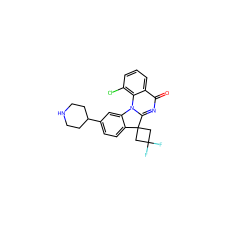 O=c1nc2n(c3c(Cl)cccc13)-c1cc(C3CCNCC3)ccc1C21CC(F)(F)C1